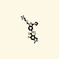 Cn1ncc2c(F)c(C(=O)Nc3ccc4c(c3)c(N3CCC3)nn4COCC[Si](C)(C)C)c(F)cc21